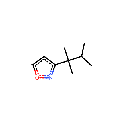 CC(C)C(C)(C)c1c[c]on1